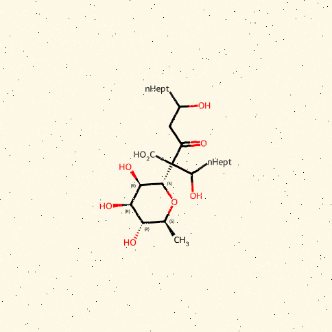 CCCCCCCC(O)CC(=O)C(C(=O)O)(C(O)CCCCCCC)[C@@H]1O[C@@H](C)[C@H](O)[C@@H](O)[C@H]1O